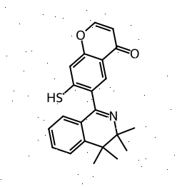 CC1(C)N=C(c2cc3c(=O)ccoc3cc2S)c2ccccc2C1(C)C